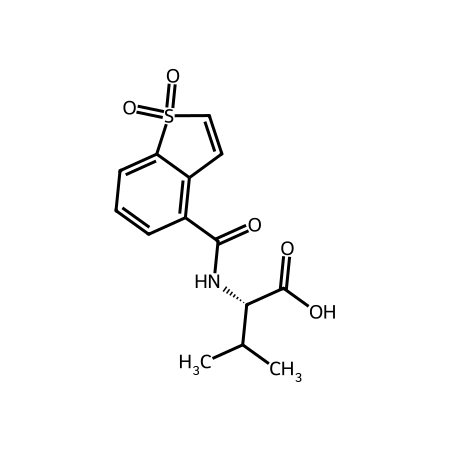 CC(C)[C@H](NC(=O)c1cccc2c1C=CS2(=O)=O)C(=O)O